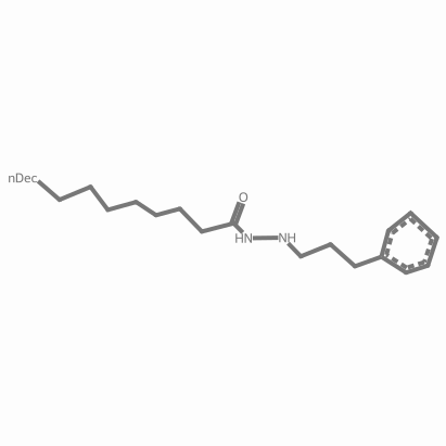 CCCCCCCCCCCCCCCCCC(=O)NNCCCc1ccccc1